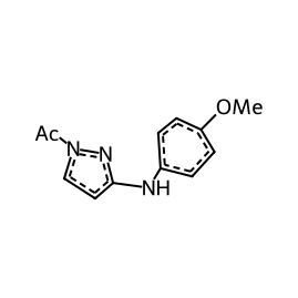 COc1ccc(Nc2ccn(C(C)=O)n2)cc1